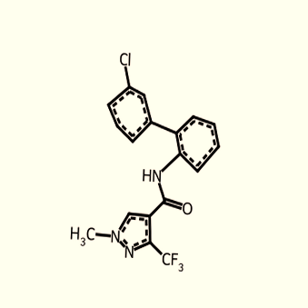 Cn1cc(C(=O)Nc2ccccc2-c2cccc(Cl)c2)c(C(F)(F)F)n1